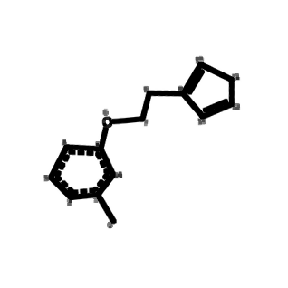 Cc1cccc(OCCC2=CCC=C2)c1